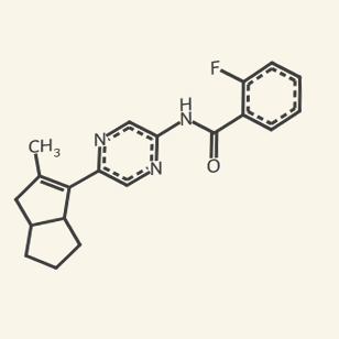 CC1=C(c2cnc(NC(=O)c3ccccc3F)cn2)C2CCCC2C1